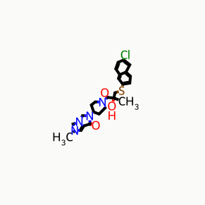 CN1C=C2C(=O)N(C3CCN(C(=O)C(C)(O)CSc4ccc5cc(Cl)ccc5c4)CC3)CN2C1